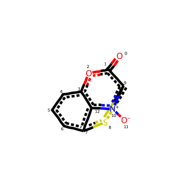 O=c1oc2cccc3sc1[n+]([O-])c23